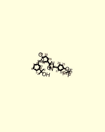 CC(C)(O)c1cccc(Cn2cc(-c3nc(-c4ccc(OC(F)(F)F)cc4)no3)ccc2=O)c1